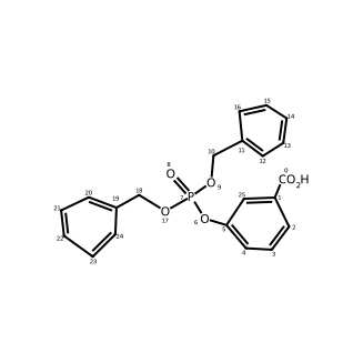 O=C(O)c1cccc(OP(=O)(OCc2ccccc2)OCc2ccccc2)c1